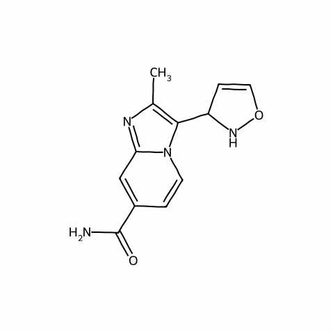 Cc1nc2cc(C(N)=O)ccn2c1C1C=CON1